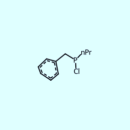 CCCP(Cl)Cc1ccccc1